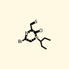 CCC(CC)n1cc(Br)nc(C=S)c1=O